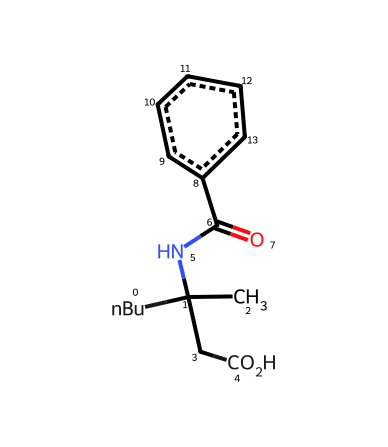 CCCCC(C)(CC(=O)O)NC(=O)c1ccccc1